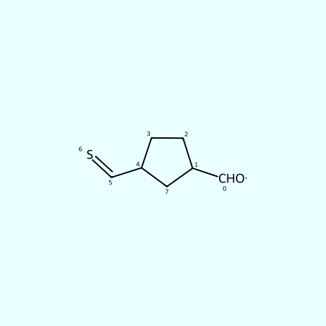 O=[C]C1CCC(C=S)C1